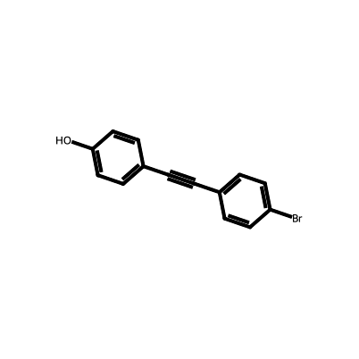 Oc1ccc(C#Cc2ccc(Br)cc2)cc1